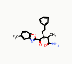 CC(C(N)=O)[C@H](CCc1ccccc1)C(=O)c1nc2cc(C(F)(F)F)ccc2o1